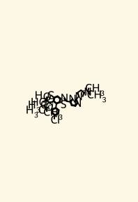 Cc1cc2nc(-c3ccnc(N4CC[C@@H](N(C)C)C4)n3)sc2c(-c2ccc(Cl)cc2)c1[C@H](OC(C)(C)C)C(=O)O